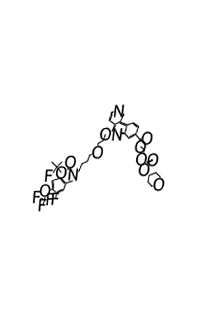 CC(C)(C)OC(=O)N(CCCCOCCOc1nc2cc(C(=O)OCOC(=O)OC3CCOCC3)ccc2c2cnccc12)Cc1cc(F)c(OC(F)(F)F)c(F)c1